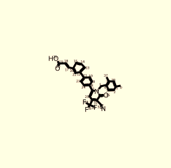 Cc1ccc(Cn2c(-c3ccc(-c4cccc(/C=C/C(=O)O)c4)cc3)cc(C(F)(F)F)c(C#N)c2=O)c(C)c1